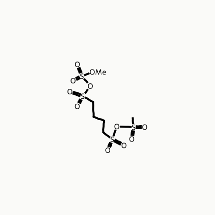 COS(=O)(=O)OS(=O)(=O)CCCCS(=O)(=O)OS(C)(=O)=O